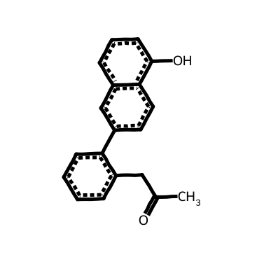 CC(=O)Cc1ccccc1-c1ccc2c(O)cccc2c1